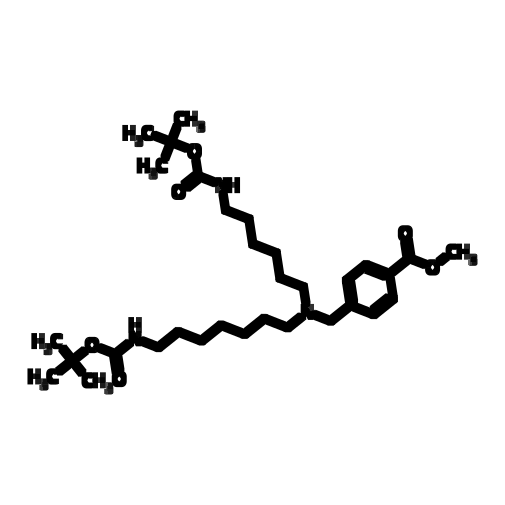 COC(=O)c1ccc(CN(CCCCCCCNC(=O)OC(C)(C)C)CCCCCCNC(=O)OC(C)(C)C)cc1